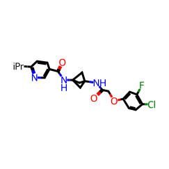 CC(C)c1ccc(C(=O)NC23CC(NC(=O)COc4ccc(Cl)c(F)c4)(C2)C3)cn1